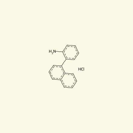 Cl.Nc1ccccc1-c1cccc2ccccc12